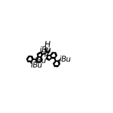 CCC(C)C1=Cc2c(-c3ccccc3C(C)CC)cccc2[CH]1[Hf]([CH]1C(C(C)CC)=Cc2c(-c3ccccc3C(C)CC)cccc21)[SiH](C)C